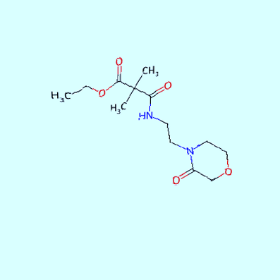 CCOC(=O)C(C)(C)C(=O)NCCN1CCOCC1=O